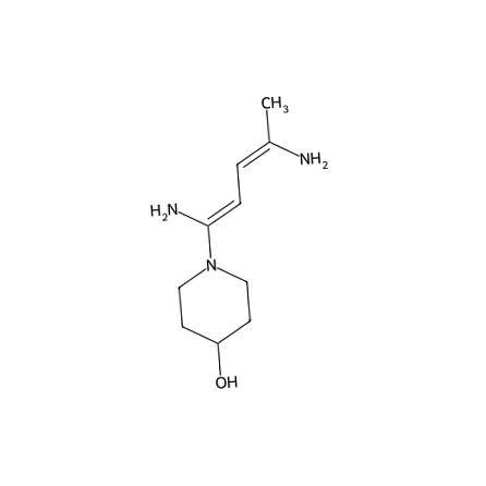 C/C(N)=C/C=C(\N)N1CCC(O)CC1